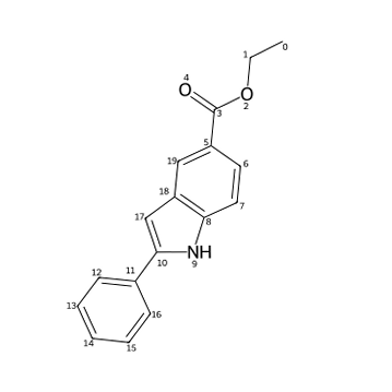 CCOC(=O)c1ccc2[nH]c(-c3ccccc3)cc2c1